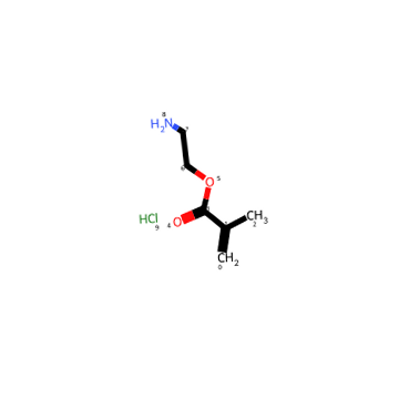 C=C(C)C(=O)OCCN.Cl